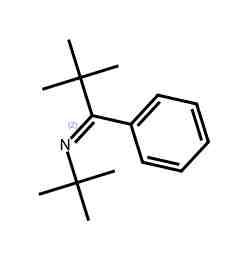 CC(C)(C)/N=C(\c1ccccc1)C(C)(C)C